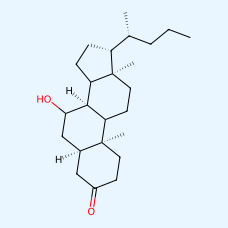 CCC[C@@H](C)[C@H]1CCC2[C@@H]3C(O)C[C@@H]4CC(=O)CC[C@]4(C)C3CC[C@@]21C